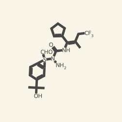 C/C(CC(F)(F)F)=C(\NC(=O)N(N)S1(C=O)c2ccc(C(C)(C)O)cc21)C1=CCCC1